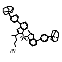 CCCC(C)C1=Cc2c(-c3ccc(C45CC6CC(CC(C6)C4)C5)cc3)cccc2[CH]1[Zr]([CH3])([CH3])(=[SiH2])[CH]1C(C)=Cc2c(-c3ccc(C45CC6CC(CC(C6)C4)C5)cc3)cccc21.Cl.Cl